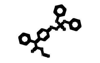 O=NOC(=O)C(=C1C=CC(=NOP(=O)(Oc2ccccc2)Oc2ccccc2)C=C1)c1ccccc1